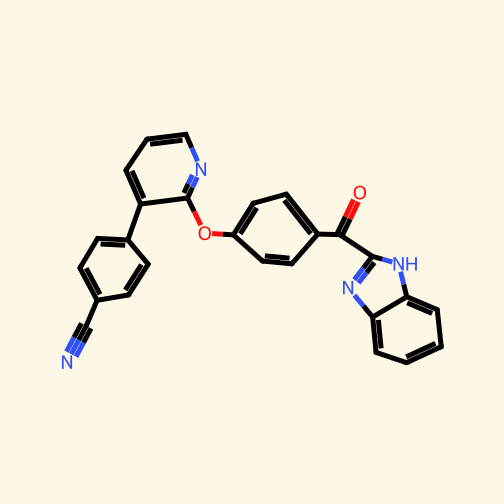 N#Cc1ccc(-c2cccnc2Oc2ccc(C(=O)c3nc4ccccc4[nH]3)cc2)cc1